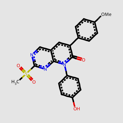 COc1ccc(-c2cc3cnc(S(C)(=O)=O)nc3n(-c3ccc(O)cc3)c2=O)cc1